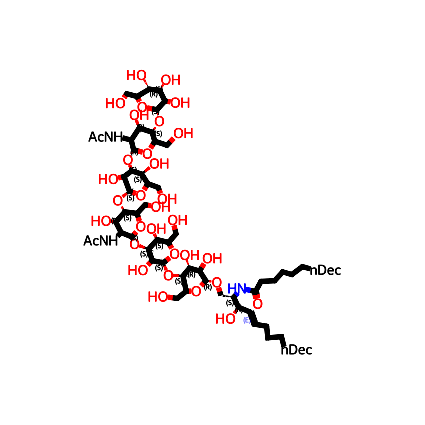 CCCCCCCCCCCCC/C=C/[C@@H](O)[C@H](CO[C@@H]1OC(CO)[C@@H](O[C@@H]2OC(CO)[C@H](O)[C@H](O[C@@H]3OC(CO)[C@@H](O[C@@H]4OC(CO)[C@H](O)[C@H](O[C@H]5OC(CO)[C@@H](O[C@@H]6OC(CO)[C@H](O)[C@H](O)C6O)[C@H](O)C5NC(C)=O)C4O)[C@H](O)C3NC(C)=O)C2O)[C@H](O)C1O)NC(=O)CCCCCCCCCCCCCCC